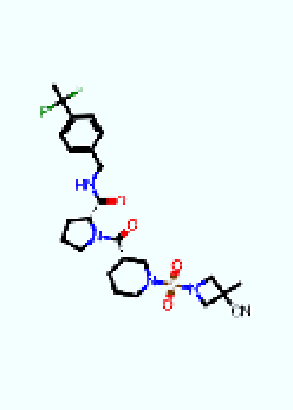 CC1(C#N)CN(S(=O)(=O)N2CCC[C@H](C(=O)N3CCC[C@@H]3C(=O)NCc3ccc(C(C)(F)F)cc3)C2)C1